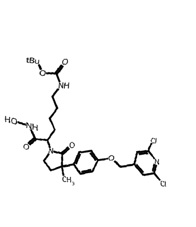 CC(C)(C)OC(=O)NCCCCC(C(=O)NO)N1CCC(C)(c2ccc(OCc3cc(Cl)nc(Cl)c3)cc2)C1=O